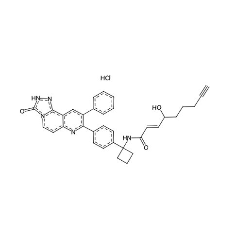 C#CCCCC(O)/C=C/C(=O)NC1(c2ccc(-c3nc4ccn5c(=O)[nH]nc5c4cc3-c3ccccc3)cc2)CCC1.Cl